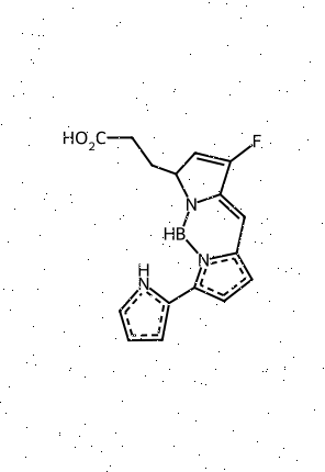 O=C(O)CCC1C=C(F)C2=Cc3ccc(-c4ccc[nH]4)n3BN21